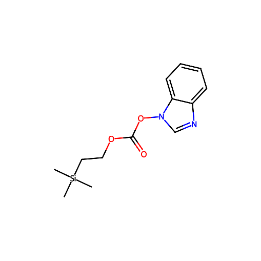 C[Si](C)(C)CCOC(=O)On1cnc2ccccc21